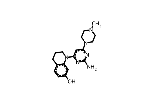 CN1CCN(c2cc(N3CCCc4ccc(O)cc43)nc(N)n2)CC1